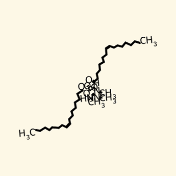 CCCCCCCC/C=C\CCCCCCCC(=O)OP(=O)(OC(=O)CCCCCCC/C=C\CCCCCCCC)C(NC)(NC)NC